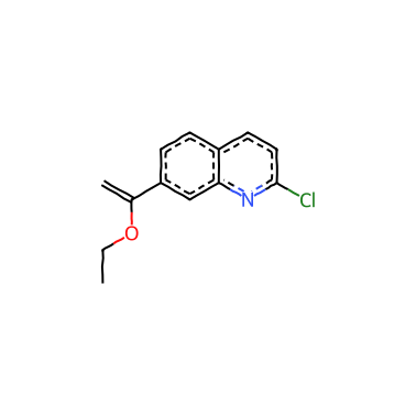 C=C(OCC)c1ccc2ccc(Cl)nc2c1